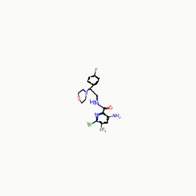 Nc1cc(C(F)(F)F)c(Br)nc1C(=O)NCC(c1ccc(F)cc1)N1CCOCC1